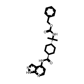 CC(C)(NC(=O)OCc1ccccc1)[C@H]1CC[C@H](C(=O)Nc2ccnc3[nH]ncc23)CC1